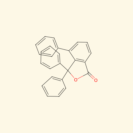 O=C1OC(c2ccccc2)(c2ccccc2)c2c1cccc2-c1ccccc1